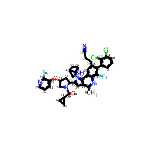 Cc1nc2c(F)c(-c3cccc(Cl)c3Cl)c(CCC#N)cc2c2c1cc(C1CC(Oc3cccnc3F)CN1C(=O)C1CC1)n2C1C2CNC1C2